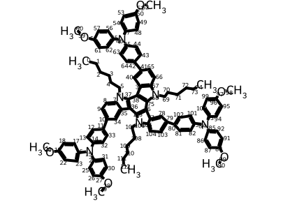 CCCCCCn1c2ccc(-c3ccc(N(c4ccc(OC)cc4)c4ccc(OC)cc4)cc3)cc2c2c1c1c3cc(-c4ccc(N(c5ccc(OC)cc5)c5ccc(OC)cc5)cc4)ccc3n(CCCCCC)c1c1c3cc(-c4ccc(N(c5ccc(OC)cc5)c5ccc(OC)cc5)cc4)ccc3n(CCCCCC)c21